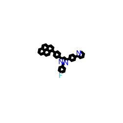 Fc1ccc(-c2nc(-c3ccc(-c4ccccn4)cc3)cc(-c3ccc(-c4ccc5ccc6cccc7ccc4c5c67)cc3)n2)cc1